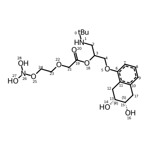 CC(C)(C)NCC(COc1cccc2c1C[C@@H](O)[C@@H](O)C2)OC(=O)COCCON(O)O